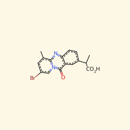 Cc1cc(Br)cn2c(=O)c3cc(C(C)C(=O)O)ccc3nc12